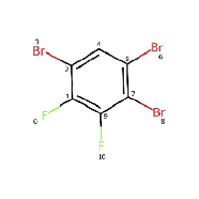 Fc1c(Br)cc(Br)c(Br)c1F